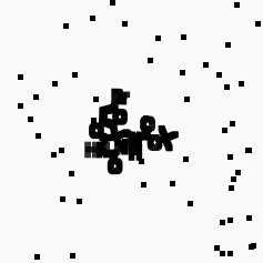 CC(C)(C)OC(=O)NCC1(c2ccc(Br)o2)NC(=O)NC1=O